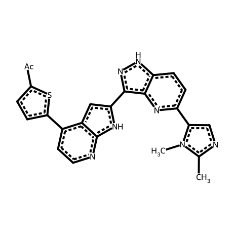 CC(=O)c1ccc(-c2ccnc3[nH]c(-c4n[nH]c5ccc(-c6cnc(C)n6C)nc45)cc23)s1